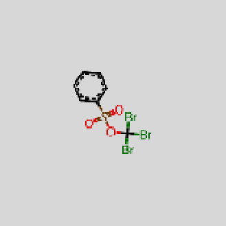 O=S(=O)(OC(Br)(Br)Br)c1ccccc1